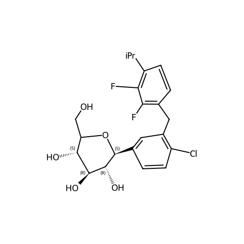 CC(C)c1ccc(Cc2cc([C@@H]3OC(CO)[C@@H](O)[C@H](O)[C@H]3O)ccc2Cl)c(F)c1F